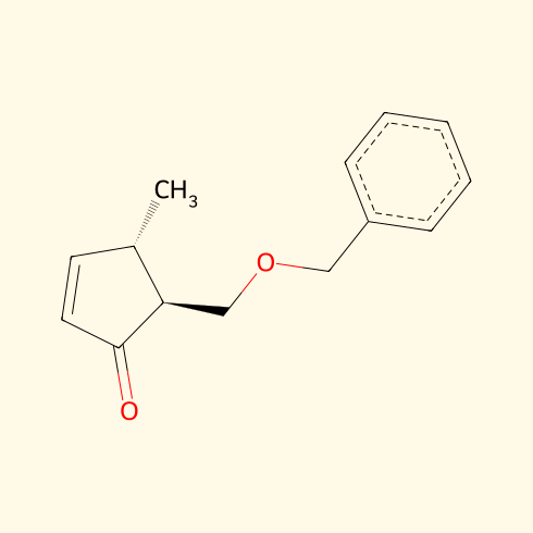 C[C@H]1C=CC(=O)[C@@H]1COCc1ccccc1